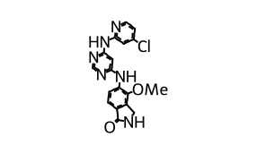 COc1c(Nc2cc(Nc3cc(Cl)ccn3)ncn2)ccc2c1CNC2=O